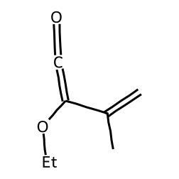 C=C(C)C(=C=O)OCC